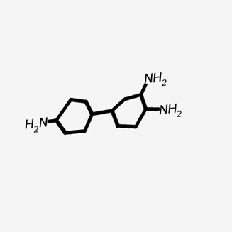 NC1CCC(C2CCC(N)C(N)C2)CC1